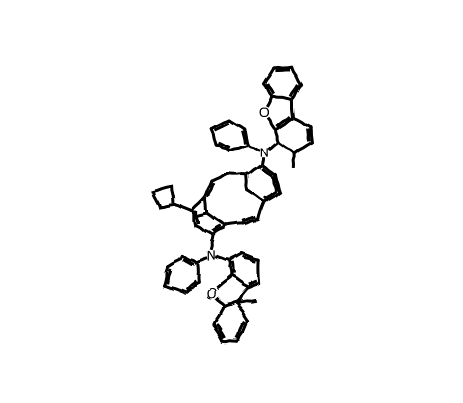 CC1C2=C(N(c3ccccc3)c3cccc4c3OC3C=CC=CC43C)C=C(C3CCC3)/C1=C/CC1CC(=C=C=C1N(c1ccccc1)C1c3oc4ccccc4c3C=CC1C)/C=C\2